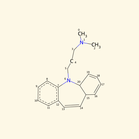 CN(C)CCCN1c2ccccc2C=CC2C=CC=CC21